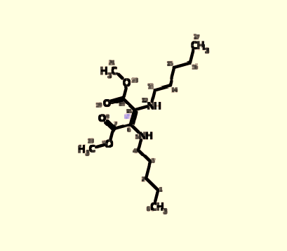 CCCCCN/C(C(=O)OC)=C(\NCCCCC)C(=O)OC